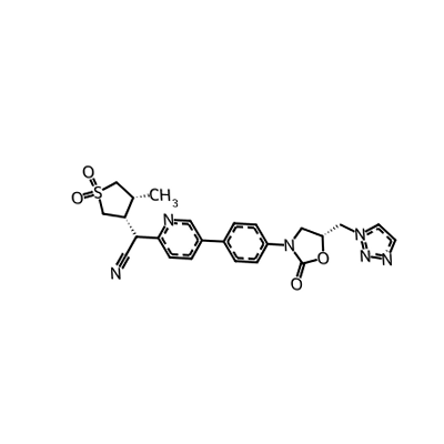 C[C@H]1CS(=O)(=O)C[C@H]1C(C#N)c1ccc(-c2ccc(N3C[C@H](Cn4ccnn4)OC3=O)cc2)cn1